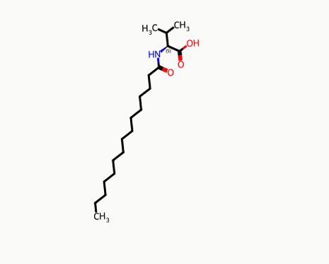 CCCCCCCCCCCCCCC(=O)N[C@H](C(=O)O)C(C)C